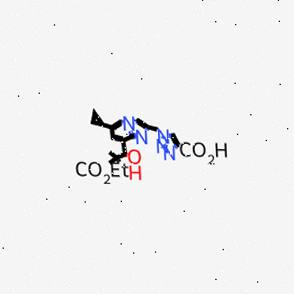 CCOC(=O)C(C)(C)C(O)c1cc(C2CC2)cn2cc(Cn3cc(C(=O)O)nn3)nc12